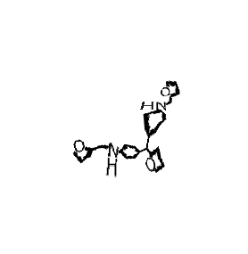 c1coc(CNc2ccc(C(c3ccc(NCc4ccco4)cc3)c3ccco3)cc2)c1